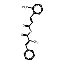 C/C(=C\c1ccccc1)C(=O)OC(=O)/C=C/c1ccccc1C(=O)O